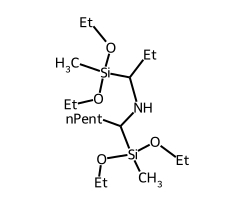 CCCCCC(NC(CC)[Si](C)(OCC)OCC)[Si](C)(OCC)OCC